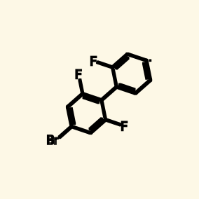 Fc1c[c]ccc1-c1c(F)cc(Br)cc1F